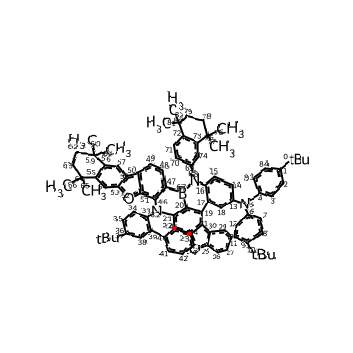 CC(C)(C)c1ccc(N(c2ccc(C(C)(C)C)cc2)c2ccc3c(c2)-c2c4c(cc5oc6ccccc6c25)N(c2ccc(C(C)(C)C)cc2-c2ccccc2)c2c(ccc5c2oc2cc6c(cc25)C(C)(C)CCC6(C)C)B4N3c2ccc3c(c2)C(C)(C)CCC3(C)C)cc1